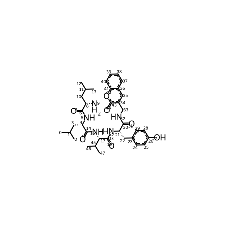 CC(C)C[C@H](NC(=O)[C@@H](N)CC(C)C)C(=O)N[C@H](C(=O)N[C@@H](Cc1ccc(O)cc1)C(=O)NCc1cc2ccccc2oc1=O)C(C)C